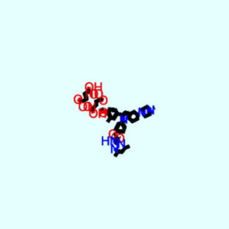 COc1ccc(-c2cc3c(n2-c2ccc(S(=O)(=O)Nc4nc(C)cc(C)n4)cc2)CCC(N2CCN(C)CC2)C3)cc1C.O=C(O)C=CC(=O)O.O=C(O)C=CC(=O)O